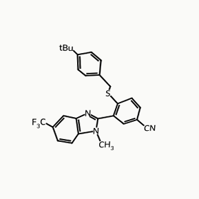 Cn1c(-c2cc(C#N)ccc2SCc2ccc(C(C)(C)C)cc2)nc2cc(C(F)(F)F)ccc21